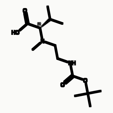 CC(C)[C@@H](C(=O)O)N(C)CCNC(=O)OC(C)(C)C